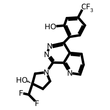 Oc1cc(C(F)(F)F)ccc1-c1nnc(N2CC[C@@](O)(C(F)F)C2)c2ncccc12